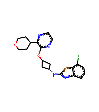 Fc1cccc2nc(N[C@H]3C[C@H](Oc4nccnc4C4CCOCC4)C3)sc12